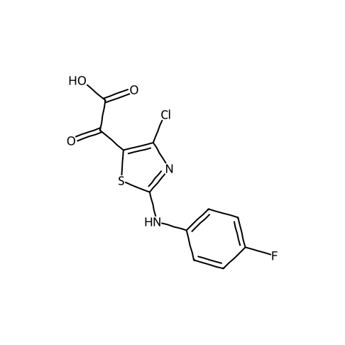 O=C(O)C(=O)c1sc(Nc2ccc(F)cc2)nc1Cl